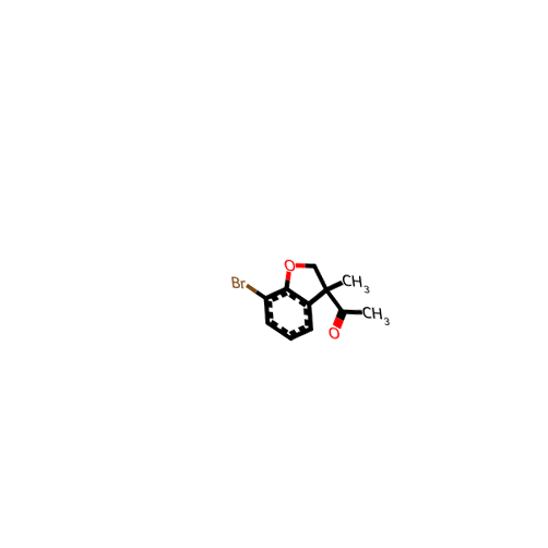 CC(=O)C1(C)COc2c(Br)cccc21